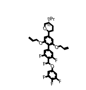 C=CCOc1cc(C2CC[C@@H](CCC)CO2)cc(OCC=C)c1-c1cc(F)c(C(F)Oc2cc(F)c(F)c(F)c2)c(F)c1